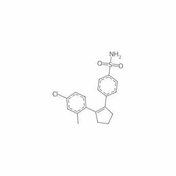 Cc1cc(Cl)ccc1C1=C(c2ccc(S(N)(=O)=O)cc2)CCC1